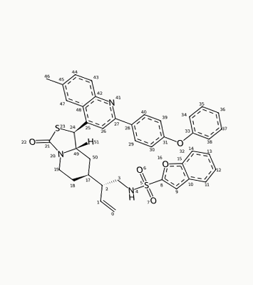 C=C[C@@H](CNS(=O)(=O)c1cc2ccccc2o1)[C@H]1CCN2C(=O)S[C@@H](c3cc(-c4ccc(Oc5ccccc5)cc4)nc4ccc(C)cc34)[C@@H]2C1